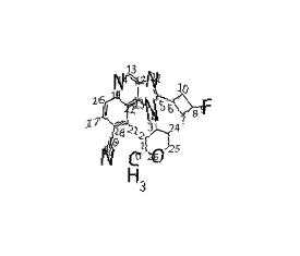 C[C@@H]1C[C@H](n2c(C3CC(F)C3)nc3cnc4ccc(C#N)cc4c32)CCO1